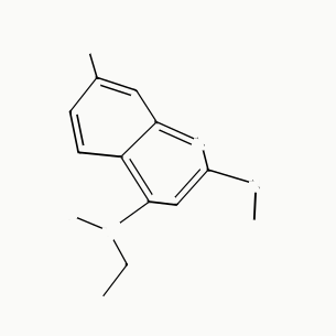 CC[S+]([O-])c1cc(NC)nc2cc(Cl)ccc12